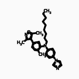 CCCCCCCCCN(c1ccc(-n2ccnc2)cc1)c1cc(-c2c(C)noc2C)ccc1C